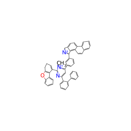 C[n+]1c(-c2cccc(C3=[N+]=Cc4ccc5c(ccc6ccccc65)c43)c2)cc(-c2ccccc2-c2ccccc2)nc1C1=CCCc2oc3ccccc3c21